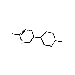 CC1=CCC(C2CCC(C)CC2)CO1